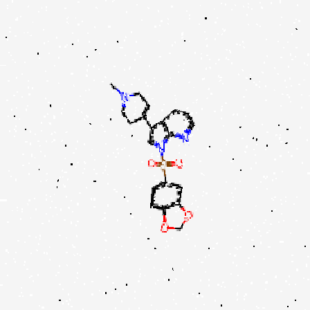 CN1CC=C(c2cn(S(=O)(=O)c3ccc4c(c3)OCO4)c3ncccc23)CC1